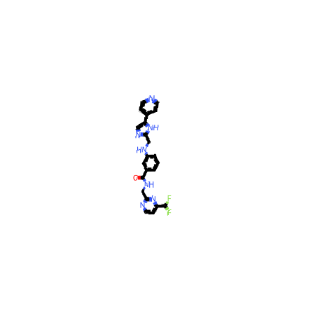 O=C(NCc1nccc(C(F)F)n1)c1cccc(NCc2ncc(-c3ccncc3)[nH]2)c1